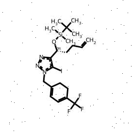 C=CCC[C@@H](O[Si](C)(C)C(C)(C)C)c1nnn(CC2=CC=C(C(F)(F)F)CC2)c1I